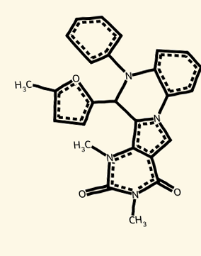 Cc1ccc(C2c3c4c(cn3-c3ccccc3N2c2ccccc2)c(=O)n(C)c(=O)n4C)o1